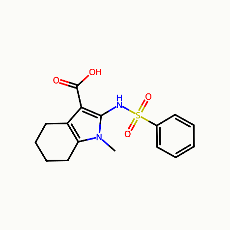 Cn1c2c(c(C(=O)O)c1NS(=O)(=O)c1ccccc1)CCCC2